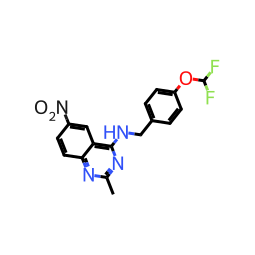 Cc1nc(NCc2ccc(OC(F)F)cc2)c2cc([N+](=O)[O-])ccc2n1